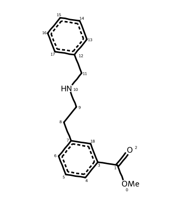 COC(=O)c1cccc(CCNCc2ccccc2)c1